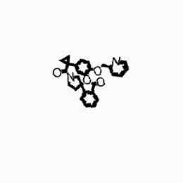 O=C1OC2(CCN(C(=O)C3(c4ccc(OCc5ccccn5)cc4)CC3)C2)c2ccccc21